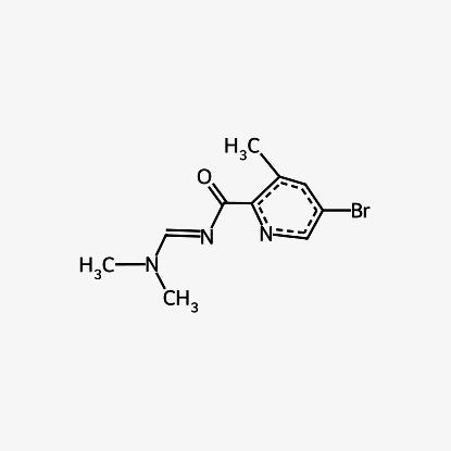 Cc1cc(Br)cnc1C(=O)N=CN(C)C